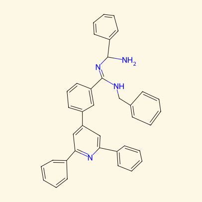 NC(/N=C(\NCc1ccccc1)c1cccc(-c2cc(-c3ccccc3)nc(-c3ccccc3)c2)c1)c1ccccc1